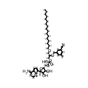 CCCCCCCCCCCCCCCCCOC[C@H](COP(=O)(O)OC[C@H]1O[C@@](C)(c2ccc3c(N)ncnn23)[C@H](O)[C@@H]1O)OCc1cc(F)cc(C#N)c1